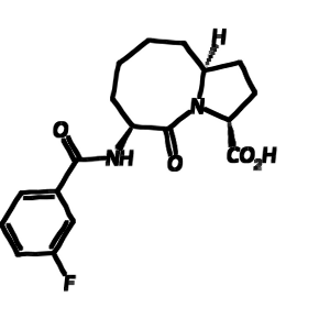 O=C(N[C@H]1CCCC[C@H]2CC[C@@H](C(=O)O)N2C1=O)c1cccc(F)c1